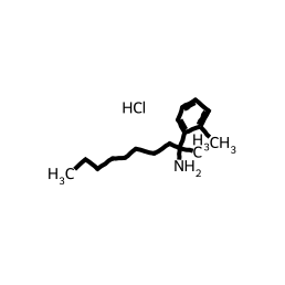 CCCCCCCCC(C)(N)c1ccccc1C.Cl